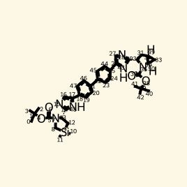 CC(C)(C)OC(=O)N1C[Si](C)(C)C[C@H]1c1ncc(-c2ccc(-c3ccc(-c4cnc([C@@H]5C[C@H]6C[C@H]6N5C(=O)OC(C)(C)C)[nH]4)cc3)cc2)[nH]1